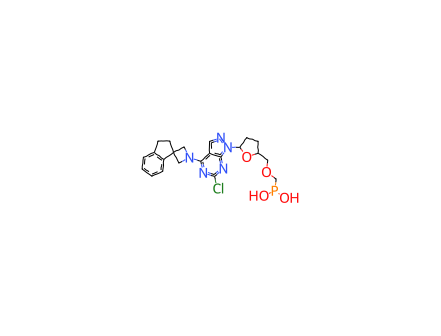 OP(O)COCC1CCC(n2ncc3c(N4CC5(CCc6ccccc65)C4)nc(Cl)nc32)O1